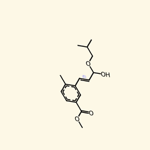 COC(=O)c1ccc(C)c(/C=C/C(O)OCC(C)C)c1